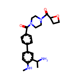 CNc1ccc(-c2ccc(C(=O)N3CCN(C(=O)C4CCO4)CC3)cc2)cc1C(C)N